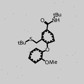 COc1cc[c]cc1Oc1ccc(C(=O)NC(C)(C)C)cc1CSC(C)(C)C